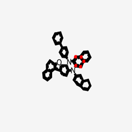 C1=Cc2ccc(N(c3ccccc3)c3ccc4c(oc5ccc6ccccc6c54)c3N(c3ccc(-c4ccccc4)cc3)c3ccc4ccccc4c3)cc2CC1